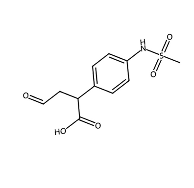 CS(=O)(=O)Nc1ccc(C(CC=O)C(=O)O)cc1